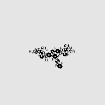 COC(=O)N[C@H](C(=O)N1CCC[C@H]1c1nc2cc([C@@H]3CC[C@@H](c4cc5nc([C@@H]6CCCN6C(=O)[C@@H](NC(=O)O)[C@@H](C)OC)[nH]c5cc4F)N3c3cc(F)c(N4CCN(c5c(F)cccc5F)CC4)c(F)c3)c(F)cc2[nH]1)[C@@H](C)OC